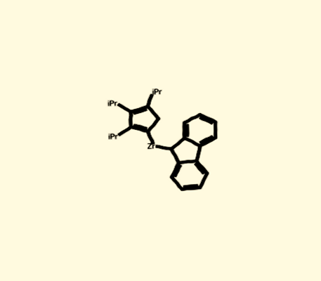 CC(C)C1=C(C(C)C)C(C(C)C)=[C]([Zr][CH]2c3ccccc3-c3ccccc32)C1